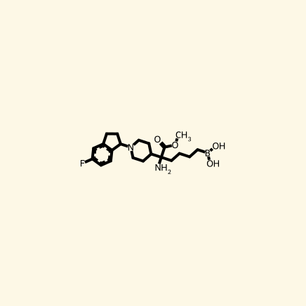 COC(=O)C(N)(CCCCB(O)O)C1CCN(C2CCc3cc(F)ccc32)CC1